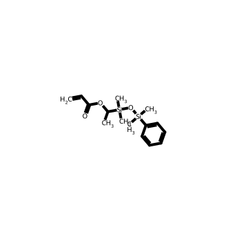 C=CC(=O)OC(C)[Si](C)(C)O[Si](C)(C)c1ccccc1